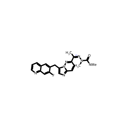 CNC(=O)N(C)/N=C(/C)c1ccc2ncc(Cc3cc4cccnc4cc3F)n2n1